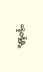 COCC(=O)Nc1ccc(Nc2nccn3c(Br)cnc23)cc1